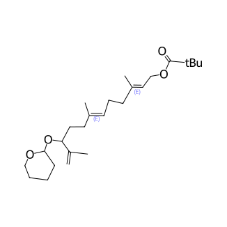 C=C(C)C(CC/C(C)=C/CC/C(C)=C/COC(=O)C(C)(C)C)OC1CCCCO1